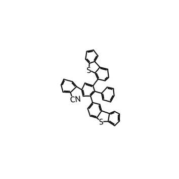 N#Cc1ccccc1-c1cc(-c2ccc3sc4ccccc4c3c2)c(-c2ccccc2)c(-c2cccc3c2sc2ccccc23)c1